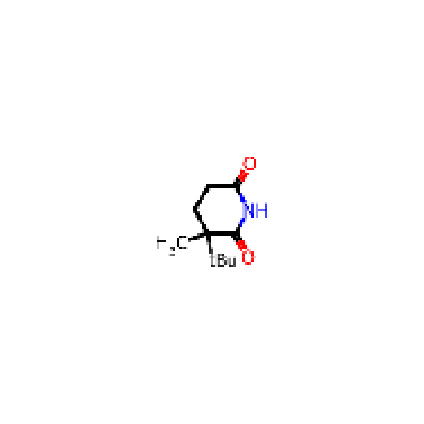 CC(C)(C)C1(C)CCC(=O)NC1=O